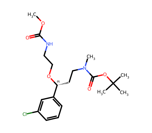 COC(=O)NCCO[C@H](CCN(C)C(=O)OC(C)(C)C)c1cccc(Cl)c1